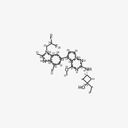 CC[C@]1(O)C[C@H](Nc2nc(OC)c3c(-c4cc(F)c5nc(C)n(CC(F)F)c5c4)ccn3n2)C1